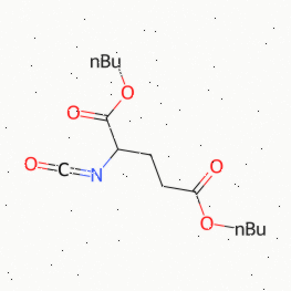 CCCCOC(=O)CCC(N=C=O)C(=O)OCCCC